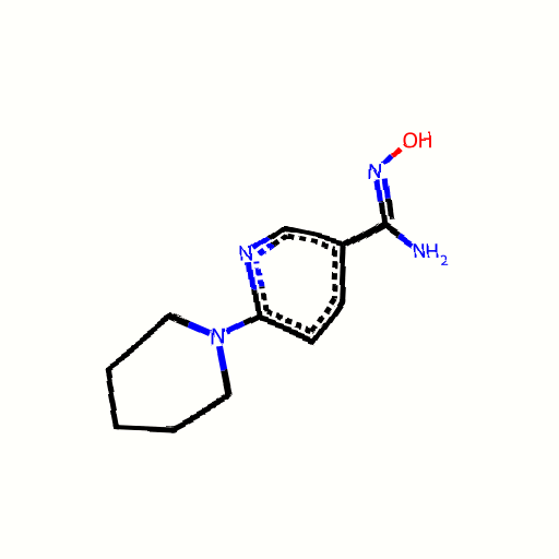 N/C(=N\O)c1ccc(N2CCCCC2)nc1